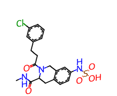 CNC(=O)C1Cc2ccc(NS(=O)(=O)O)cc2CN1C(=O)CCc1cccc(Cl)c1